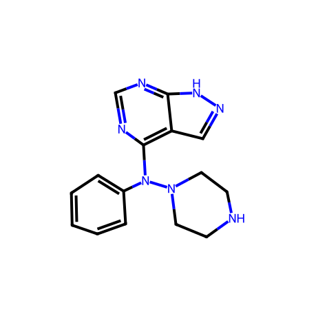 c1ccc(N(c2ncnc3[nH]ncc23)N2CCNCC2)cc1